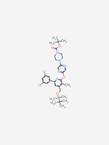 Cc1c(CO[Si](C)(C)C(C)(C)C)cc(-c2cc(Cl)cc(Cl)c2)nc1Oc1cnc(N2CCN(C(=O)OC(C)(C)C)CC2)cn1